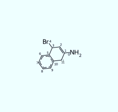 NC1=CC(Br)c2ccccc2[CH]1